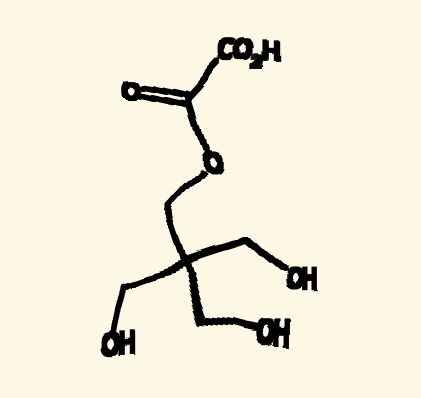 O=C(O)C(=O)OCC(CO)(CO)CO